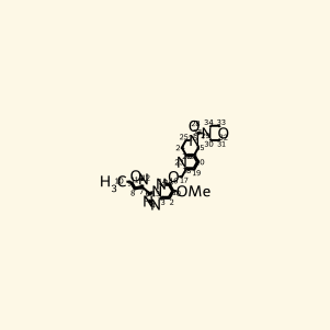 COc1cc2nnc(-c3cc(C)on3)n2nc1OCc1ccc2c(n1)CCN(C(=O)N1CCOCC1)C2